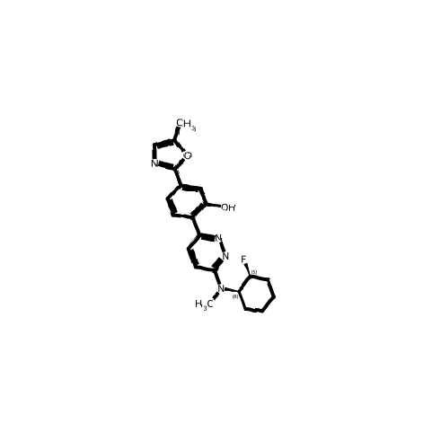 Cc1cnc(-c2ccc(-c3ccc(N(C)[C@@H]4CCCC[C@@H]4F)nn3)c(O)c2)o1